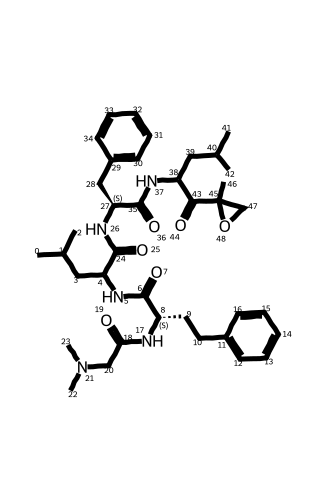 CC(C)CC(NC(=O)[C@H](CCc1ccccc1)NC(=O)CN(C)C)C(=O)N[C@@H](Cc1ccccc1)C(=O)NC(CC(C)C)C(=O)C1(C)CO1